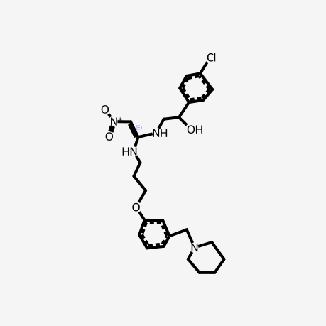 O=[N+]([O-])/C=C(\NCCCOc1cccc(CN2CCCCC2)c1)NCC(O)c1ccc(Cl)cc1